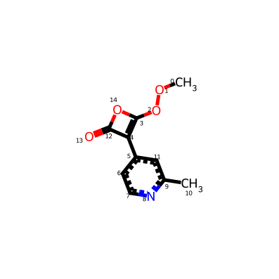 COOC1=C(c2ccnc(C)c2)C(=O)O1